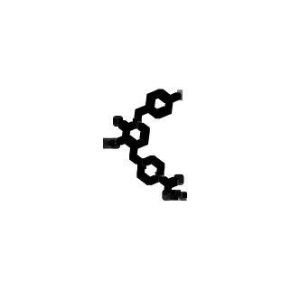 COC(=O)N1CCN(Cc2ccn(Cc3ccc(I)cc3)c(=O)c2O)CC1